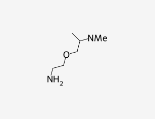 CNC(C)COCCN